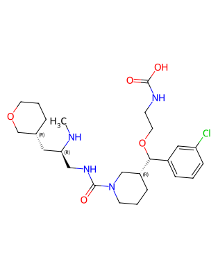 CN[C@@H](CNC(=O)N1CCC[C@@H](C(OCCNC(=O)O)c2cccc(Cl)c2)C1)C[C@H]1CCCOC1